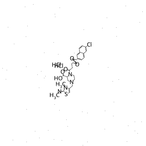 C/N=c1\scc(CN2CCN(C(=O)CCS(=O)(=O)c3ccc4cc(Cl)ccc4c3)C(C(=O)O)C2)n1C.Cl.Cl